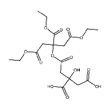 CCOC(=O)CC(CC(=O)OCC)(OC(=O)CC(O)(CC(=O)O)C(=O)O)C(=O)OCC